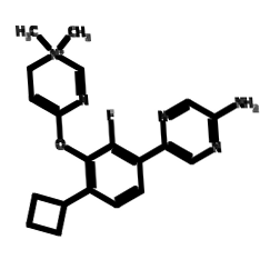 C[N+]1(C)C=NC(Oc2c(C3CCC3)ccc(-c3cnc(N)cn3)c2F)=CC1